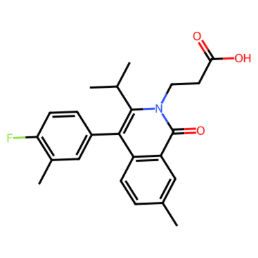 Cc1ccc2c(-c3ccc(F)c(C)c3)c(C(C)C)n(CCC(=O)O)c(=O)c2c1